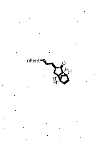 CCCCC/C=C/C=C1\C[C@H]2[C@@H](C1=O)[C@H]1C=C[C@@H]2C1